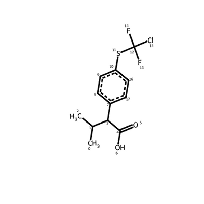 CC(C)C(C(=O)O)c1ccc(SC(F)(F)Cl)cc1